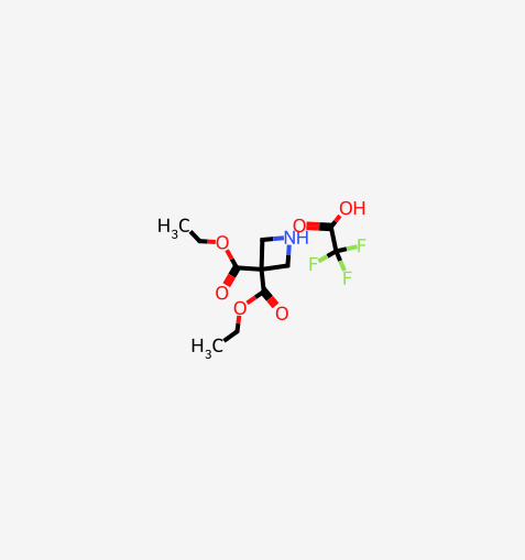 CCOC(=O)C1(C(=O)OCC)CNC1.O=C(O)C(F)(F)F